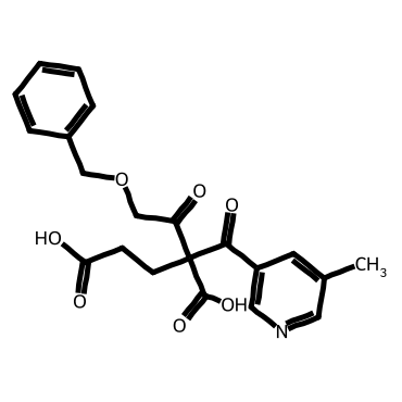 Cc1cncc(C(=O)C(CCC(=O)O)(C(=O)O)C(=O)COCc2ccccc2)c1